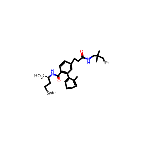 CSCC[C@H](NC(=O)c1ccc(CCC(=O)NCC(C)(C)CC(C)C)cc1-c1ccccc1C)C(=O)O